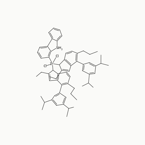 CCCc1ccc2c(c1-c1cc(C(C)C)cc(C(C)C)c1)C=C(CC)[CH]2[Zr]([Cl])([Cl])([c]1cccc2c1[SiH2]c1ccccc1-2)[CH]1C(CC)=Cc2c1ccc(CCC)c2-c1cc(C(C)C)cc(C(C)C)c1